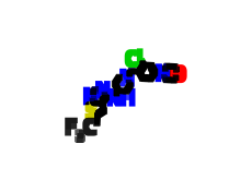 FC(F)(F)Cc1cc2c(NC3CCN(Cc4ccc(N5CCOCC5)cc4Cl)CC3)ncnc2s1